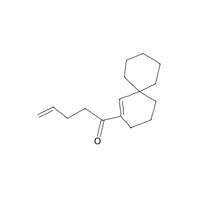 C=CCCC(=O)C1=CC2(CCCCC2)CCC1